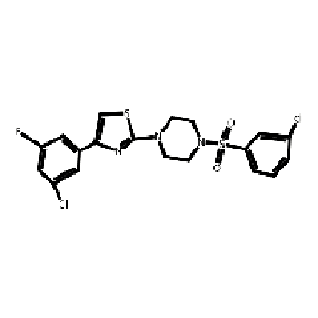 O=S(=O)(c1cccc(Cl)c1)N1CCN(c2nc(-c3cc(F)cc(Cl)c3)cs2)CC1